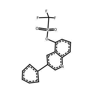 O=S(=O)(Oc1cccc2ncc(-c3ccccc3)cc12)C(F)(F)F